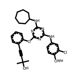 COc1ccc(Nc2nc(NC3CCCCCC3)nc(Oc3ccccc3C#CC(C)(C)O)n2)cc1Cl